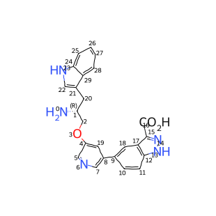 N[C@@H](COc1cncc(-c2ccc3[nH]nc(C(=O)O)c3c2)c1)Cc1c[nH]c2ccccc12